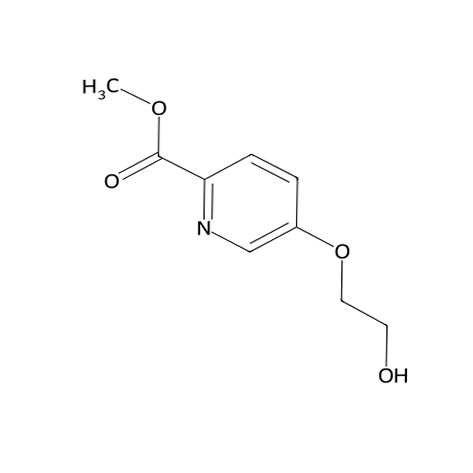 COC(=O)c1ccc(OCCO)cn1